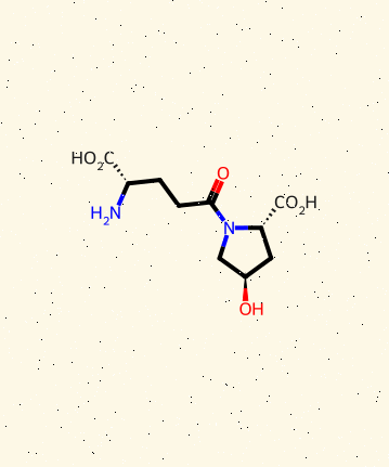 N[C@@H](CCC(=O)N1C[C@H](O)C[C@H]1C(=O)O)C(=O)O